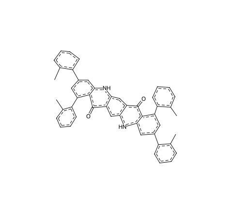 Cc1ccccc1-c1cc(-c2ccccc2C)c2c(=O)c3cc4[nH]c5cc(-c6ccccc6C)cc(-c6ccccc6C)c5c(=O)c4cc3[nH]c2c1